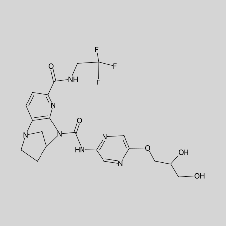 O=C(NCC(F)(F)F)c1ccc2c(n1)N(C(=O)Nc1cnc(OCC(O)CO)cn1)C1CCN2C1